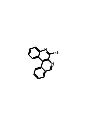 CCc1nc2ccccc2c2c1ncc1ccccc12